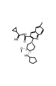 CO[C@@H]1CN(c2nc3ccc(C)cc3cc2C(=O)NC(=N)C2CC2)CC[C@@H]1NC1CCCC1